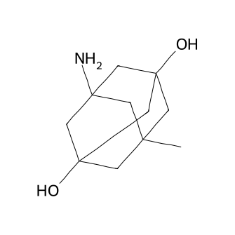 CC12CC3(N)CC(O)(C1)CC(O)(C2)C3